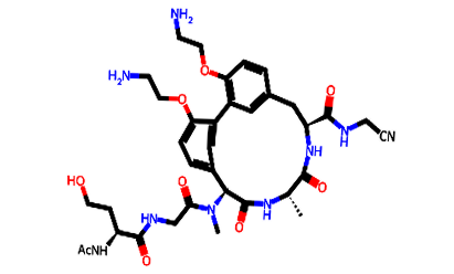 CC(=O)N[C@@H](CCO)C(=O)NCC(=O)N(C)[C@@H]1C(=O)N[C@@H](C)C(=O)N[C@H](C(=O)NCC#N)Cc2ccc(OCCN)c(c2)-c2cc1ccc2OCCN